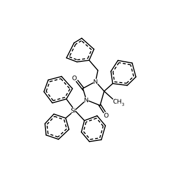 CC1(c2ccccc2)C(=O)N([Si](c2ccccc2)(c2ccccc2)c2ccccc2)C(=O)N1Cc1ccccc1